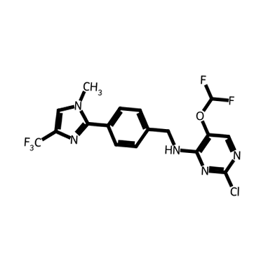 Cn1cc(C(F)(F)F)nc1-c1ccc(CNc2nc(Cl)ncc2OC(F)F)cc1